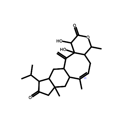 C=C1C2CC3C(C(C)C)C(=O)CC3(C)CC2/C(C)=C\CC2C(C)OC(=O)C(O)C12O